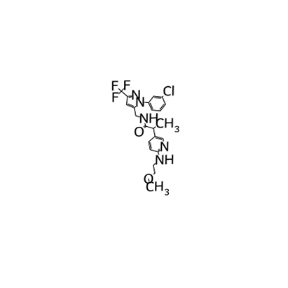 COCCNc1ccc(C(C)C(=O)NCc2cc(C(F)(F)F)nn2-c2cccc(Cl)c2)cn1